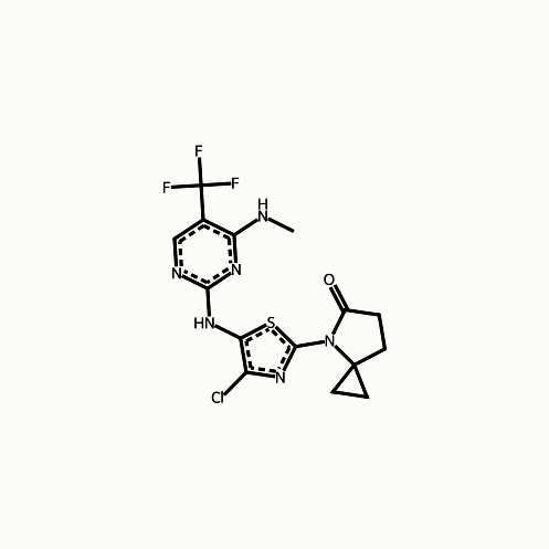 CNc1nc(Nc2sc(N3C(=O)CCC34CC4)nc2Cl)ncc1C(F)(F)F